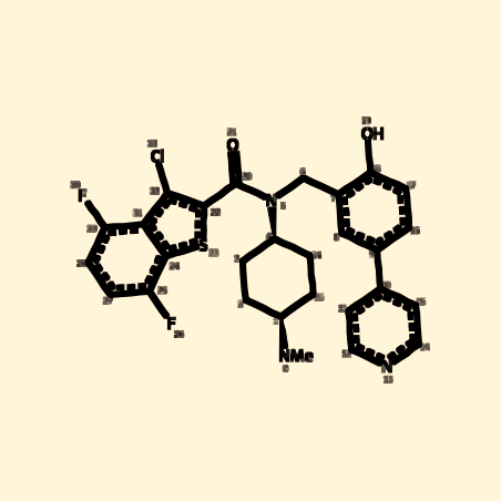 CN[C@H]1CC[C@@H](N(Cc2cc(-c3ccncc3)ccc2O)C(=O)c2sc3c(F)ccc(F)c3c2Cl)CC1